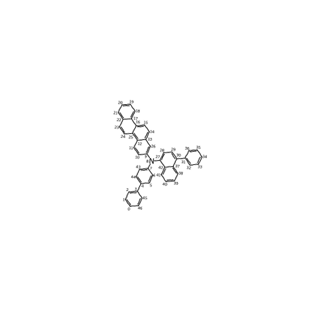 c1ccc(-c2ccc(N(c3ccc4c(ccc5c6ccccc6ccc45)c3)c3ccc(-c4ccccc4)c4ccccc34)cc2)cc1